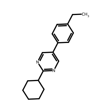 CCc1ccc(-c2cnc(C3CCCCC3)nc2)cc1